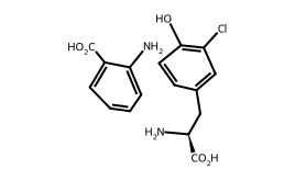 N[C@@H](Cc1ccc(O)c(Cl)c1)C(=O)O.Nc1ccccc1C(=O)O